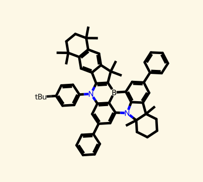 CC(C)(C)c1ccc(N2C3=C(B4c5cc(-c6ccccc6)cc6c5N(c5cc(-c7ccccc7)cc2c54)C2(C)CCCCC62C)C(C)(C)c2cc4c(cc23)C(C)(C)CCC4(C)C)cc1